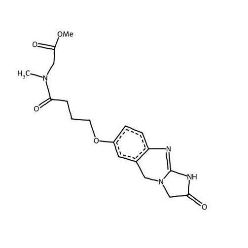 COC(=O)CN(C)C(=O)CCCOc1ccc2c(c1)CN1CC(=O)NC1=N2